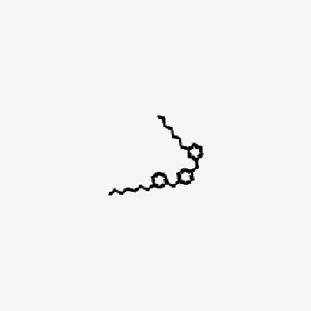 CCCCCCCc1cccc(Cc2ccc(Cc3cccc(CCCCCCC)c3)cc2)c1